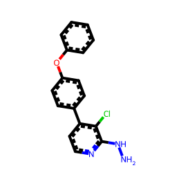 NNc1nccc(-c2ccc(Oc3ccccc3)cc2)c1Cl